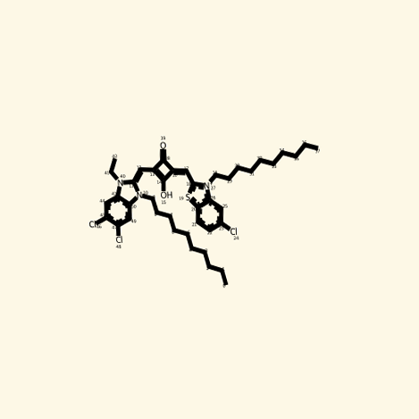 CCCCCCCCCCN1/C(=C\C2=C(O)C(=C\c3sc4ccc(Cl)cc4[n+]3CCCCCCCCCC)/C2=O)N(CC)c2cc(Cl)c(Cl)cc21